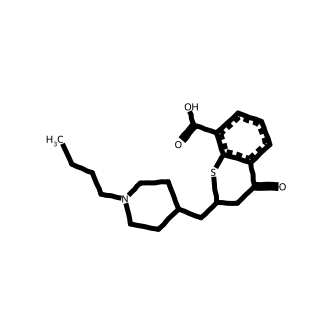 CCCCN1CCC(CC2CC(=O)c3cccc(C(=O)O)c3S2)CC1